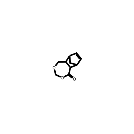 O=C1OCOCC2C3C=CC(C3)C12